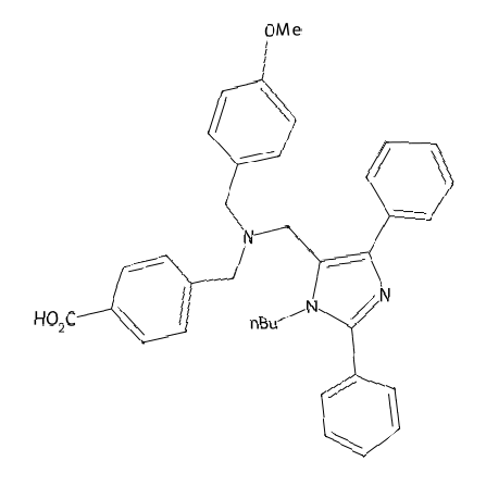 CCCCn1c(-c2ccccc2)nc(-c2ccccc2)c1CN(Cc1ccc(OC)cc1)Cc1ccc(C(=O)O)cc1